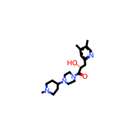 Cc1cnc(C[C@@H](O)C(=O)N2CCN(C3CCN(C)CC3)CC2)cc1C